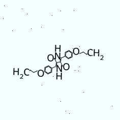 C=CCCOc1ccc(C2=C3C(=O)NC(c4ccc(OCCC=C)cc4)=C3C(=O)N2)cc1